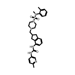 Cc1ccc(NC(=O)Nc2cccc3c2CC(CN2CCN(S(=O)(=O)N(C)c4ccccc4C)CC2)C3)cn1